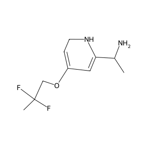 CC(N)C1=CC(OCC(C)(F)F)=CCN1